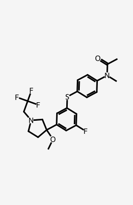 COC1(c2cc(F)cc(Sc3ccc(N(C)C(C)=O)cc3)c2)CCN(CC(F)(F)F)C1